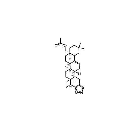 CC(=O)OC[C@]12CCC(C)(C)CC1C1=CC[C@@H]3[C@@]4(C)Cc5cnoc5[C@@H](C)[C@@H]4CC[C@@]3(C)[C@]1(C)CC2